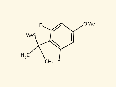 COc1cc(F)c(C(C)(C)SC)c(F)c1